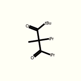 CC(C)C(=O)C(C)(C(=O)C(C)(C)C)C(C)C